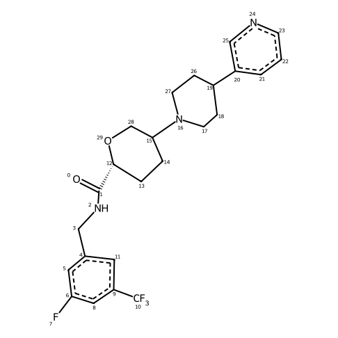 O=C(NCc1cc(F)cc(C(F)(F)F)c1)[C@H]1CCC(N2CCC(c3cccnc3)CC2)CO1